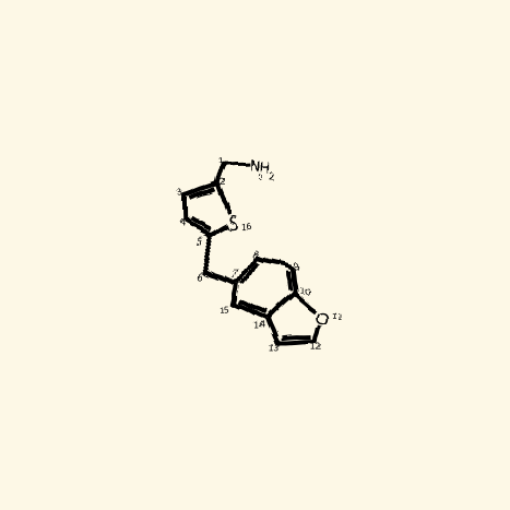 NCc1ccc(Cc2ccc3occc3c2)s1